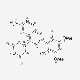 COc1cc(OC)c(Cl)c(-c2cc3cnc(N)cc3c(N3CC(C)OC(C)C3)n2)c1C